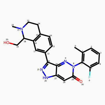 Cc1cccc(F)c1-n1nc2c(-c3ccc4c(c3)C(CO)N(C)CC4)n[nH]c2cc1=O